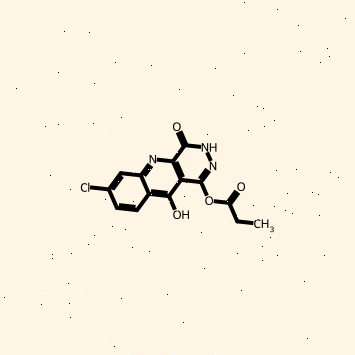 CCC(=O)Oc1n[nH]c(=O)c2nc3cc(Cl)ccc3c(O)c12